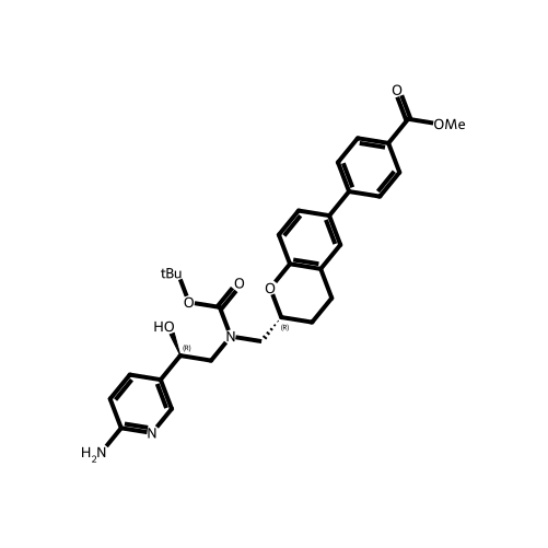 COC(=O)c1ccc(-c2ccc3c(c2)CC[C@H](CN(C[C@H](O)c2ccc(N)nc2)C(=O)OC(C)(C)C)O3)cc1